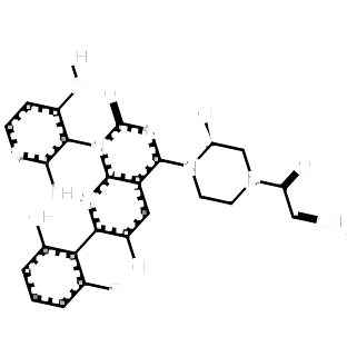 C=CC(=O)N1CCN(c2nc(=O)n(-c3c(SC)ccnc3P)c3nc(-c4c(O)cccc4F)c(Cl)cc23)[C@@H](C)C1